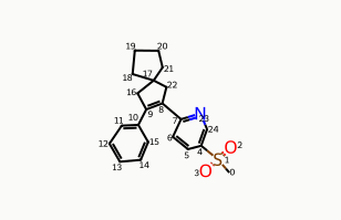 CS(=O)(=O)c1ccc(C2=C(c3ccccc3)CC3(CCCC3)C2)nc1